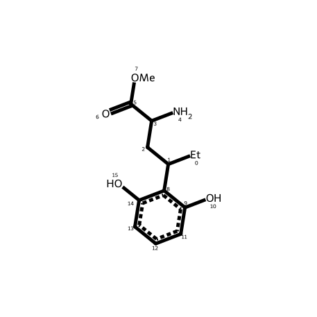 CCC(CC(N)C(=O)OC)c1c(O)cccc1O